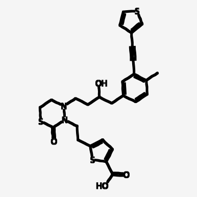 Cc1ccc(CC(O)CCN2CCSC(=O)N2CCc2ccc(C(=O)O)s2)cc1C#Cc1ccsc1